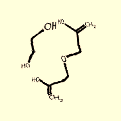 C=C(O)COCC(=C)O.OCCO